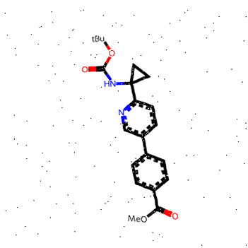 COC(=O)c1ccc(-c2ccc(C3(NC(=O)OC(C)(C)C)CC3)nc2)cc1